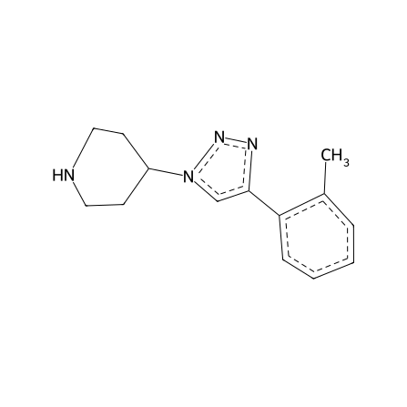 Cc1ccccc1-c1cn(C2CCNCC2)nn1